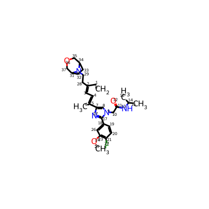 C=C/C(=C\C=C(/C)c1cn(CC(=O)NC(C)C)c(-c2ccc(F)c(OC)c2)n1)CCN1C2CCC1COC2